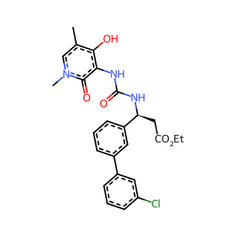 CCOC(=O)C[C@H](NC(=O)Nc1c(O)c(C)cn(C)c1=O)c1cccc(-c2cccc(Cl)c2)c1